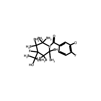 BC(O)(C#N)C1(F)C(B)(B)C(B)(B)N(C(=O)c2ccc(F)c(Cl)c2)C(B)(B)C1(B)B